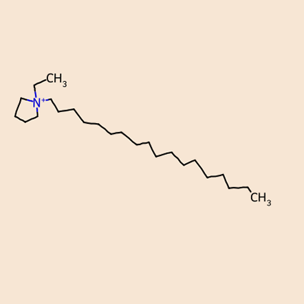 CCCCCCCCCCCCCCCCCC[N+]1(CC)CCCC1